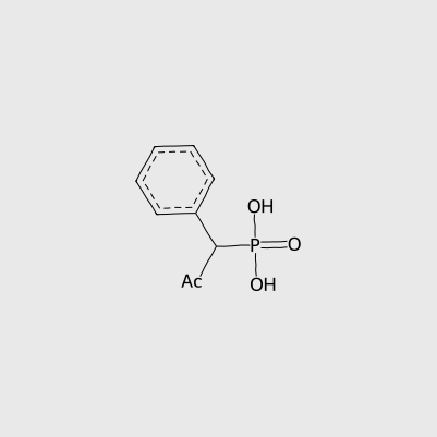 CC(=O)C(c1ccccc1)P(=O)(O)O